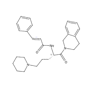 O=C(/C=C/c1ccccc1)N[C@@H](CCCN1CCCCC1)C(=O)N1CCc2ccccc2C1